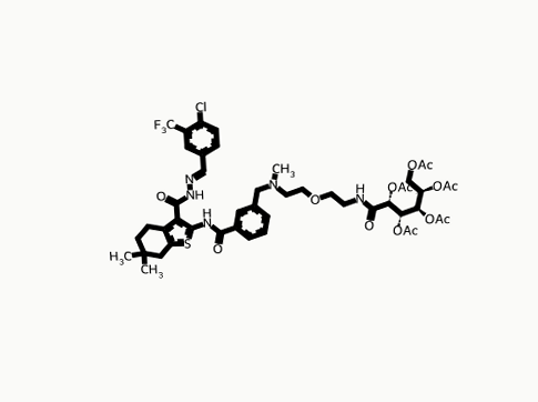 CC(=O)OC[C@@H](OC(C)=O)[C@@H](OC(C)=O)[C@H](OC(C)=O)[C@@H](OC(C)=O)C(=O)NCCOCCN(C)Cc1cccc(C(=O)Nc2sc3c(c2C(=O)N/N=C/c2ccc(Cl)c(C(F)(F)F)c2)CCC(C)(C)C3)c1